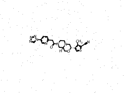 Cc1c([C@H]2CN3CCN(C(=O)Cc4ccc(-n5cnnn5)cn4)C[C@H]3CO2)csc1C#N